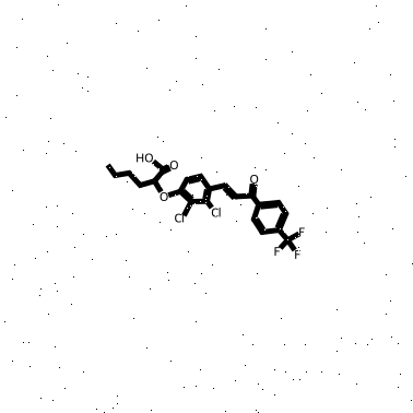 CCCCC(Oc1ccc(/C=C/C(=O)c2ccc(C(F)(F)F)cc2)c(Cl)c1Cl)C(=O)O